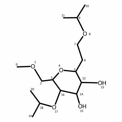 COCC1OC(CCOC(C)C)C(O)C(O)C1OC(C)C